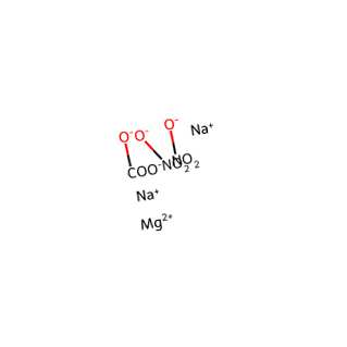 O=C([O-])[O-].O=[N+]([O-])[O-].O=[N+]([O-])[O-].[Mg+2].[Na+].[Na+]